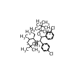 CC[C@@H](N[C@H](c1ccc(Cl)cc1)[C@@H](O[Si](C)(C)C(C)(C)C)c1cccc(Cl)c1)[C@H](C)SC(C)(C)C